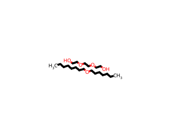 CCCCCCCCOCCCCCCC.OCCOCCOCCO